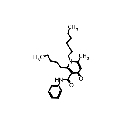 CCCCCCn1c(C)cc(=O)c(C(=O)Nc2ccccc2)c1CCCCC